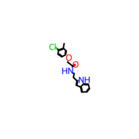 Cc1cc(OCC(=O)NCCc2cc3ccccc3[nH]2)ccc1Cl